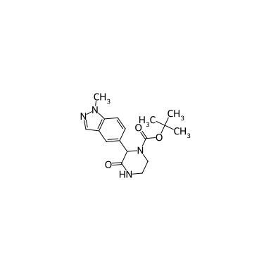 Cn1ncc2cc(C3C(=O)NCCN3C(=O)OC(C)(C)C)ccc21